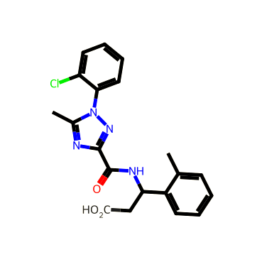 Cc1ccccc1C(CC(=O)O)NC(=O)c1nc(C)n(-c2ccccc2Cl)n1